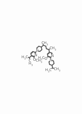 COc1cc(C(C)CCC(C)C2CCN(c3ccc(C(C)C)c(OC)n3)CC2)cnc1N1CCC(C(C)C)CC1